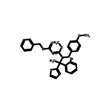 COc1ccc(CN(/C(=N/C(=O)OCc2ccccc2)SC)C(C)(c2cccs2)c2ccccc2Br)cc1